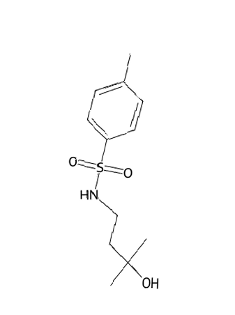 Cc1ccc(S(=O)(=O)NCCC(C)(C)O)cc1